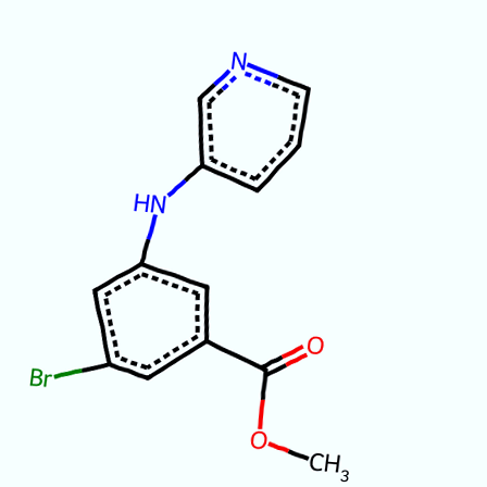 COC(=O)c1cc(Br)cc(Nc2cccnc2)c1